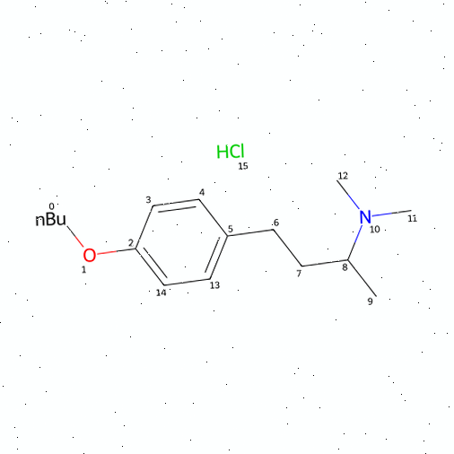 CCCCOc1ccc(CCC(C)N(C)C)cc1.Cl